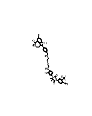 CC1(C)C(=O)N(c2ccc(C#N)c(C(F)(F)F)c2)C(=S)N1c1ccc(NCCOCCNCc2ccc(-c3[nH]c4cc(F)cc5c4c3CCNC5=O)cc2)c(F)c1